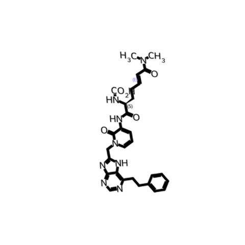 CN(C)C(=O)/C=C/CC[C@H](NC(=O)O)C(=O)Nc1cccn(Cc2nc3ncnc(CCc4ccccc4)c3[nH]2)c1=O